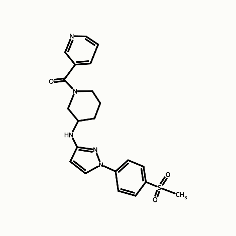 CS(=O)(=O)c1ccc(-n2ccc(NC3CCCN(C(=O)c4cccnc4)C3)n2)cc1